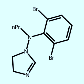 CCCN(c1c(Br)cccc1Br)N1C=NCC1